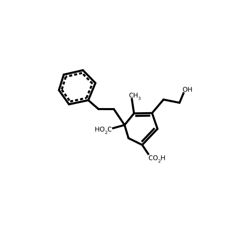 CC1=C(CCO)C=C(C(=O)O)CC1(CCc1ccccc1)C(=O)O